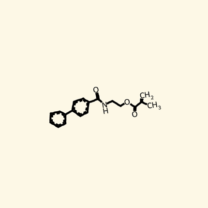 C=C(C)C(=O)OCCNC(=O)c1ccc(-c2ccccc2)cc1